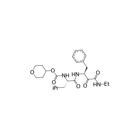 CCNC(=O)C(=O)[C@H](Cc1ccccc1)NC(=O)[C@H](CC(C)C)NC(=O)OC1CCOCC1